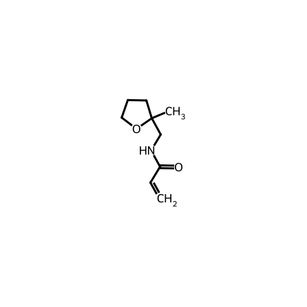 C=CC(=O)NCC1(C)CCCO1